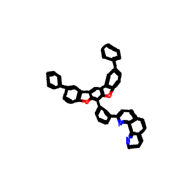 c1ccc(-c2ccc3oc4c(-c5cccc(-c6ccc7ccc8cccnc8c7n6)c5)c5oc6ccc(-c7ccccc7)cc6c5cc4c3c2)cc1